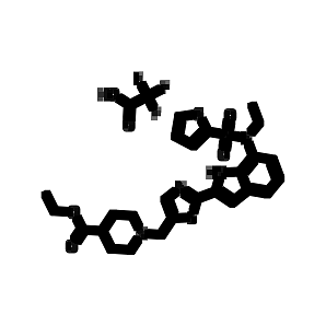 CCOC(=O)C1CCN(Cc2cnc(-c3cc4cccc(N(CC)S(=O)(=O)c5cccs5)c4[nH]3)s2)CC1.O=C(O)C(F)(F)F